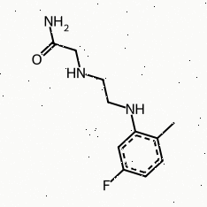 Cc1ccc(F)cc1NCCNCC(N)=O